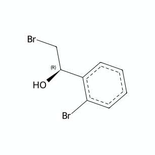 O[C@@H](CBr)c1ccccc1Br